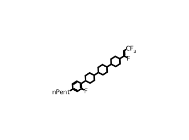 CCCCCc1ccc(C2CCC(C3CCC(C4CCC(/C(F)=C/C(F)(F)F)CC4)CC3)CC2)c(F)c1